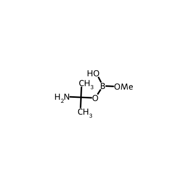 COB(O)OC(C)(C)N